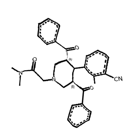 Cc1c(C#N)cccc1C1[C@@H](C(=O)c2ccccc2)CN(CC(=O)N(C)C)C[C@@H]1C(=O)c1ccccc1